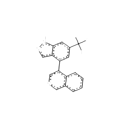 FC(F)(F)c1cc(-c2cncc3ccccc23)c2cn[nH]c2c1